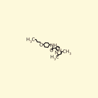 CCCCOC1CCC(NC(=O)c2ccn3c(C)cc(C)nc23)CC1